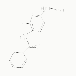 Cc1nc(NC(=O)O)ccc1NC(=O)c1ccccc1